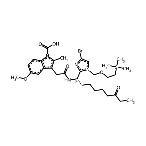 CCC(=O)CCCCC[C@H](NC(=O)Cc1c(C)n(C(=O)O)c2ccc(OC)cc12)c1nc(Br)cn1COCC[Si](C)(C)C